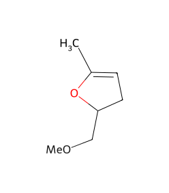 COCC1CC=C(C)O1